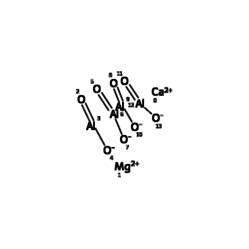 [Ca+2].[Mg+2].[O]=[Al][O-].[O]=[Al][O-].[O]=[Al][O-].[O]=[Al][O-]